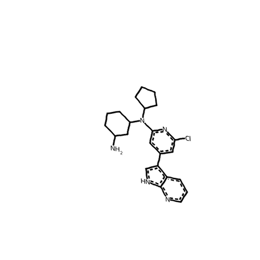 NC1CCCC(N(c2cc(-c3c[nH]c4ncccc34)cc(Cl)n2)C2CCCC2)C1